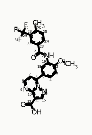 COc1ccc(-c2ccnc3c(C(=O)O)cnn23)cc1NC(=O)c1ccc(C)c(C(F)(F)F)c1